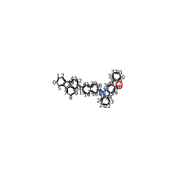 c1ccc2c(c1)-c1cccc3c(-c4ccc5cc(-n6c7ccccc7c7cc8oc9ccccc9c8cc76)ccc5c4)ccc-2c13